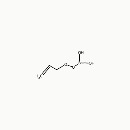 C=CCOOB(O)O